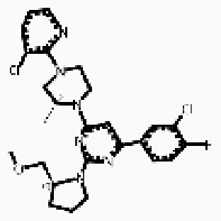 COC[C@@H]1CCCN1c1nc(-c2ccc(F)c(Cl)c2)cc(N2CCN(c3ncccc3Cl)C[C@H]2C)n1